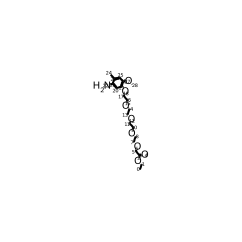 CCOC(=O)COCCOCCOCCOCCOc1cc(N)c(C)cc1OC